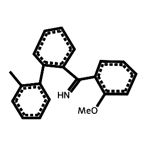 COc1ccccc1C(=N)c1ccccc1-c1ccccc1C